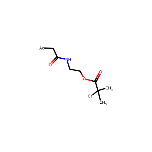 CCC(C)(C)C(=O)OCCNC(=O)CC(C)=O